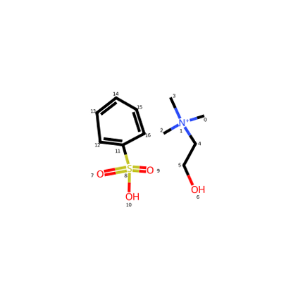 C[N+](C)(C)CCO.O=S(=O)(O)c1ccccc1